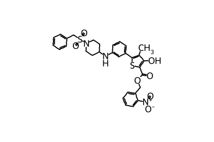 Cc1c(-c2cccc(NC3CCN(S(=O)(=O)Cc4ccccc4)CC3)c2)sc(C(=O)OCc2ccccc2[N+](=O)[O-])c1O